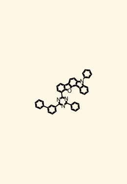 c1ccc(-c2cccc(-c3nc(-c4ccccc4)nc(-c4cccc5c4oc4c5ccc5c4c4ccccc4n5-c4ccccc4)n3)c2)cc1